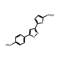 CCCCCCCCCc1ccc(-c2cc(-c3ccc(CCCCCCC)s3)no2)cc1